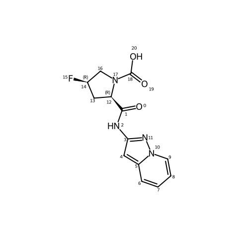 O=C(Nc1cc2ccccn2n1)[C@H]1C[C@@H](F)CN1C(=O)O